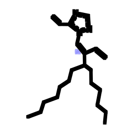 C=C/C(=C\n1ncnc1C=C)C(CCCCCC)CCCCCCC